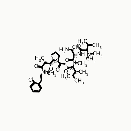 CC[C@H](C)[C@@H]([C@@H](CC(=O)N1CCC[C@H]1[C@H](OC)[C@@H](C)C(=O)NCCc1ccccc1Cl)OC)N(C)C(=O)[C@@H](NC(=O)C(C(C)C)N(C)C)[C@H](C)N